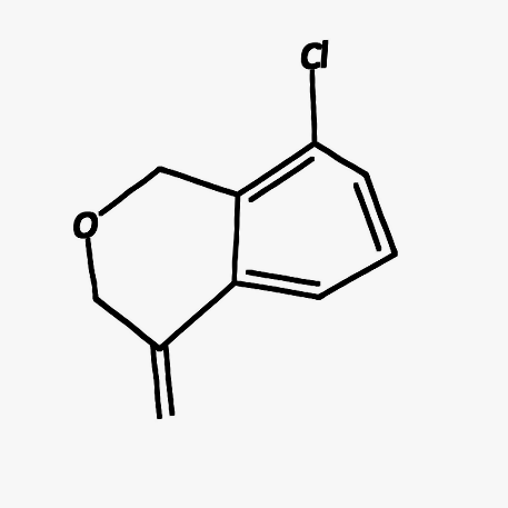 C=C1COCc2c(Cl)cccc21